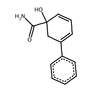 NC(=O)C1(O)C=CC=C(c2ccccc2)C1